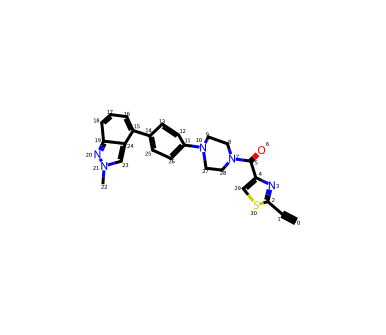 C#Cc1nc(C(=O)N2CCN(c3ccc(-c4cccc5nn(C)cc45)cc3)CC2)cs1